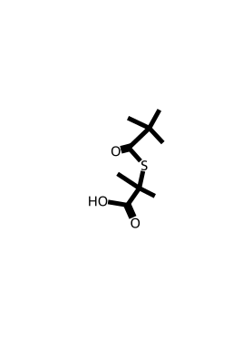 CC(C)(C)C(=O)SC(C)(C)C(=O)O